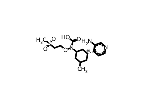 CC1CC(N(OCCS(C)(=O)=O)C(=O)O)C[C@H](c2ccncc2N)C1